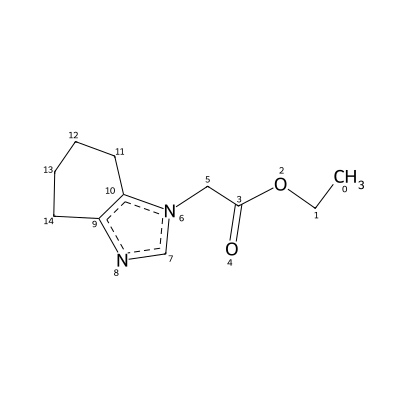 CCOC(=O)Cn1cnc2c1CCCC2